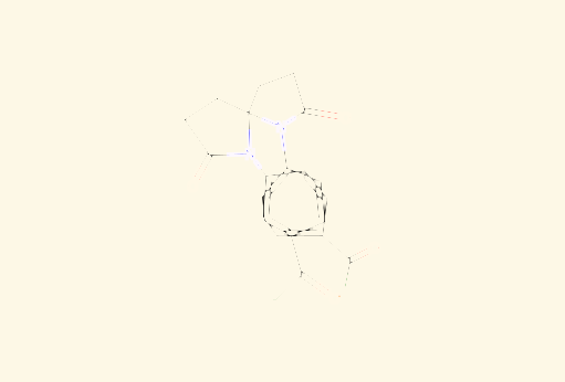 O=C(Cl)c1ccc(N2C(=O)CCC23CCC(=O)N3c2ccc(C(=O)Cl)cc2)cc1